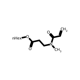 C=CC(=O)N(C)CCC(=O)OCCCCCC